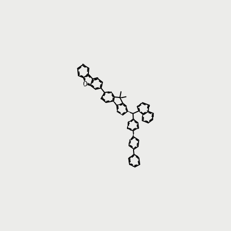 CC1(C)c2cc(-c3ccc4c(c3)oc3ccccc34)ccc2-c2ccc(C(c3ccc(-c4ccc(-c5ccccc5)cc4)cc3)c3cccc4ccccc34)cc21